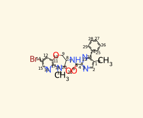 Cc1cnc(C(=O)NC2COc3cc(Br)cnc3N(C)C2=O)nc1-c1ccccc1